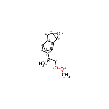 C=C(COOC)C1CC2CC1C1C2CC2OC21